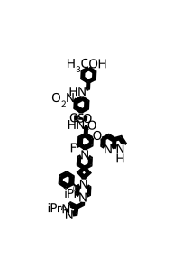 CC(C)c1ccccc1[C@@H]1CN(Cc2cnn(C(C)C)c2)CCN1C1CC2(CCN(c3cc(Oc4cnc5[nH]ccc5c4)c(C(=O)NS(=O)(=O)c4ccc(NCC5CCC(C)(O)CC5)c([N+](=O)[O-])c4)cc3F)CC2)C1